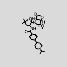 CO[C@H]1CN(C(=O)C(CC(C)(C)C)NC(=O)c2ccc(C3CCN(C(C)C)CC3)cc2)[C@@H]2C(=O)CO[C@H]12